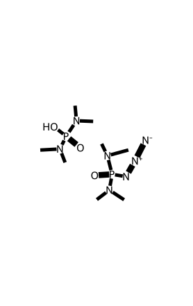 CN(C)P(=O)(N=[N+]=[N-])N(C)C.CN(C)P(=O)(O)N(C)C